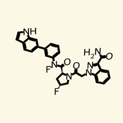 NC(=O)c1nn(CC(=O)N2C[C@H](F)C[C@H]2C(=O)N(F)c2cccc(-c3ccc4cc[nH]c4c3)c2)c2ccccc12